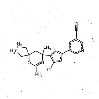 CCC1(CC)CC(C)(c2sc(-c3cncc(C#N)c3)cc2Cl)N=C(N)O1